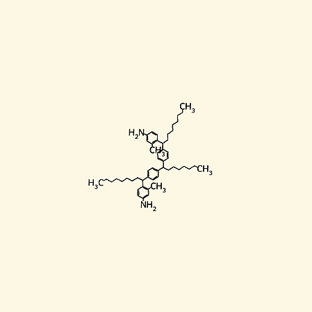 CCCCCCCCC(c1ccc(C(CCCCCCC)c2ccc(C(CCCCCCCC)c3ccc(N)cc3C)cc2)cc1)c1ccc(N)cc1C